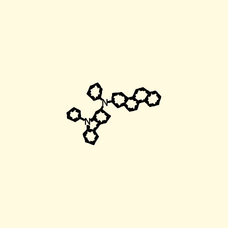 c1ccc(N(c2ccc3c(ccc4c5ccccc5ccc34)c2)c2ccc3c4ccccc4n(-c4ccccc4)c3c2)cc1